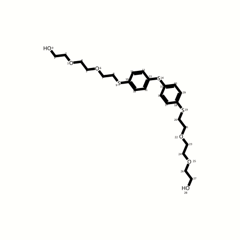 OCCOCCOCCSc1ccc(Sc2ccc(SCCOCCOCCO)cc2)cc1